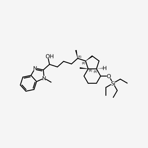 CC[Si](CC)(CC)OC1CCC[C@]2(C)[C@@H]([C@H](C)CCCC(O)c3nc4ccccc4n3C)CC[C@@H]12